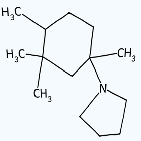 CC1CCC(C)(N2CCCC2)CC1(C)C